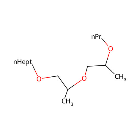 C[CH]COC(C)COC(C)COCCCCCCC